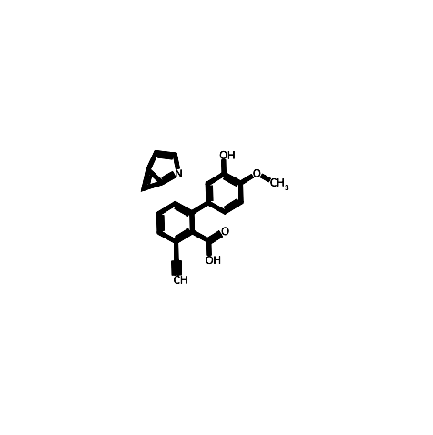 C#Cc1cccc(-c2ccc(OC)c(O)c2)c1C(=O)O.c1cc2cc-2n1